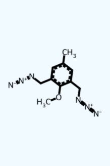 COc1c(CN=[N+]=[N-])cc(C)cc1CN=[N+]=[N-]